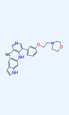 N#Cc1cncc(-c2cccc(OCCN3CCOCC3)c2)c1Nc1ccc2cc[nH]c2c1